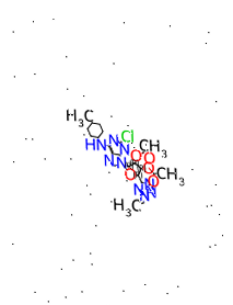 CCn1nnc([C@H]2O[C@@H](n3cnc4c(N[C@H]5CC[C@H](C)CC5)nc(Cl)nc43)[C@H](OC(C)=O)[C@@H]2OC(C)=O)n1